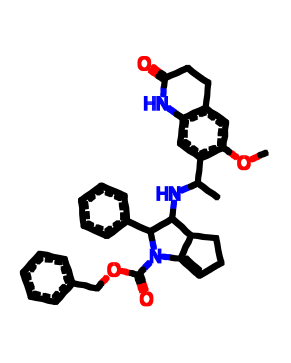 COc1cc2c(cc1C(C)NC1C3CCC=C3N(C(=O)OCc3ccccc3)C1c1ccccc1)NC(=O)CC2